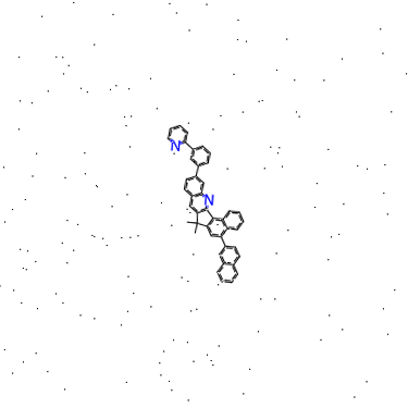 CC1(C)c2cc3ccc(-c4cccc(-c5ccccn5)c4)cc3nc2-c2c1cc(-c1ccc3ccccc3c1)c1ccccc21